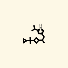 CC(C)c1cc(CC(C)C2CC(C(C)(C)C3CC3)C2)c[nH]1